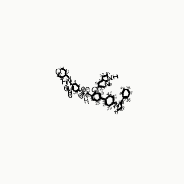 O=C(NS(=O)(=O)c1ccc(NCC2CCOCC2)c([N+](=O)[O-])c1)c1ccc(C2=CCC(N3CCC3c3ccccc3)CC2)cc1Oc1cnc2[nH]ccc2c1